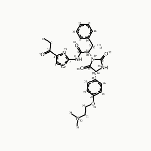 CCC(=O)c1csc(NC(=O)[C@H]([C@@H](C)c2ccccc2)N2C(=O)N[C@H](c3ccc(OCCN(C)C)cc3)C2=O)n1